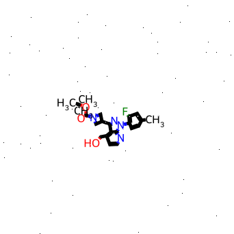 Cc1ccc(-n2nc(C3CN(C(=O)OC(C)(C)C)C3)c3c(CO)ccnc32)c(F)c1